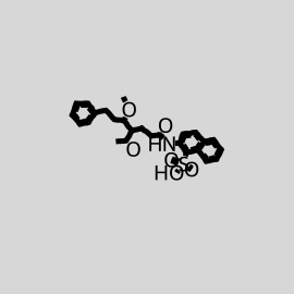 COC(CCc1ccccc1)C(CCC(=O)Nc1ccc2ccccc2c1S(=O)(=O)O)C(C)=O